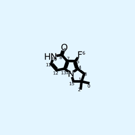 CC1(C)Cc2c(F)c3c(=O)[nH]ccc3n2C1